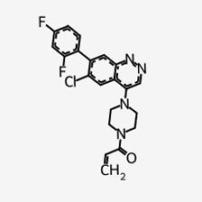 C=CC(=O)N1CCN(c2cnnc3cc(-c4ccc(F)cc4F)c(Cl)cc23)CC1